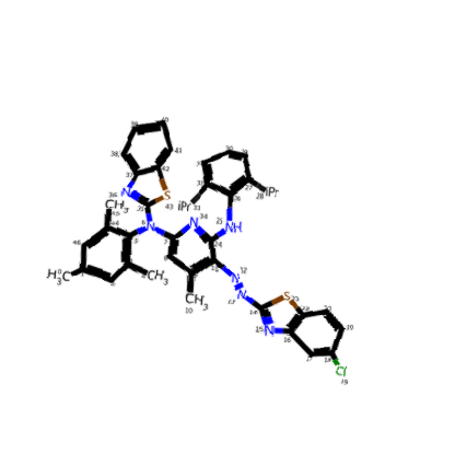 Cc1cc(C)c(N(c2cc(C)c(N=Nc3nc4cc(Cl)ccc4s3)c(Nc3c(C(C)C)cccc3C(C)C)n2)c2nc3ccccc3s2)c(C)c1